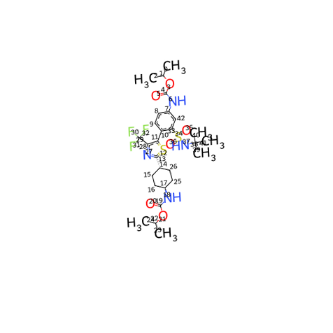 CC(C)OC(=O)Nc1ccc(-c2sc([C@H]3CC[C@H](NC(=O)OC(C)C)CC3)nc2C(F)(F)F)c(S(=O)(=O)NC(C)(C)C)c1